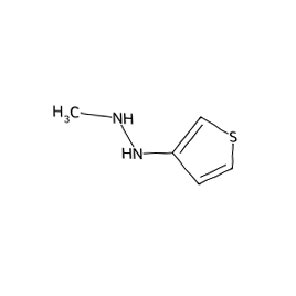 CNNc1ccsc1